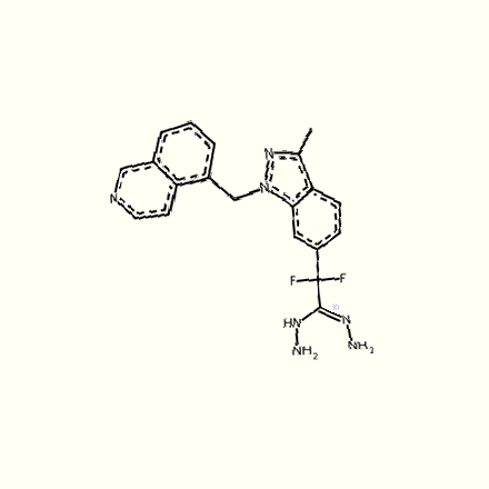 Cc1nn(Cc2cccc3cnccc23)c2cc(C(F)(F)/C(=N/N)NN)ccc12